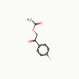 CC(=O)OCC(=O)c1ccc(F)cc1